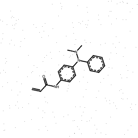 C=CC(=O)Nc1ccc(N(c2ccccc2)N(C)C)cc1